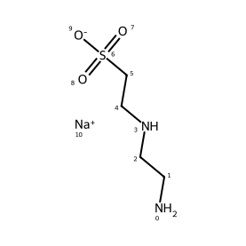 NCCNCCS(=O)(=O)[O-].[Na+]